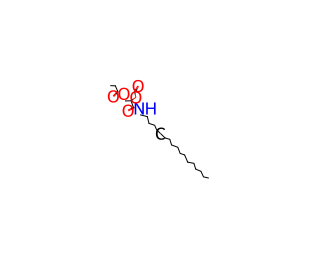 CCCCCCCCCCCCCCCCCCNC(=O)C(COC(=O)CC)OC=O